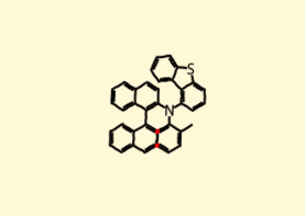 Cc1ccccc1N(c1ccc2ccccc2c1-c1cccc2ccccc12)c1cccc2sc3ccccc3c12